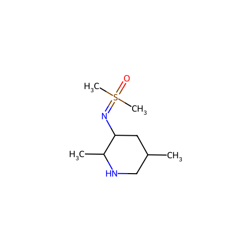 CC1CNC(C)C(N=S(C)(C)=O)C1